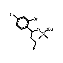 CC(C)(C)[Si](C)(C)OC(CCBr)c1ccc(Cl)cc1Br